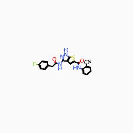 N#Cc1ccccc1NC(=O)c1cc2c(NC(=O)Cc3ccc(F)cc3)n[nH]c2s1